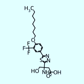 CCCCCCCCOc1ccc(-c2nnc(C(N)(CO)CC(=O)O)s2)cc1C(F)(F)F